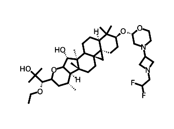 CCO[C@@H](C1C[C@@H](C)[C@H]2C(O1)[C@H](O)[C@@]1(C)C3CC[C@H]4C(C)(C)[C@@H](O[C@H]5CN(C6CN(CC(F)F)C6)CCO5)CC[C@@]45C[C@@]35CC[C@]21C)C(C)(C)O